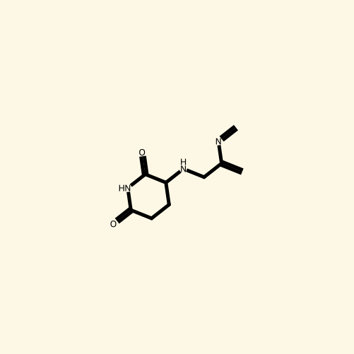 C=NC(=C)CNC1CCC(=O)NC1=O